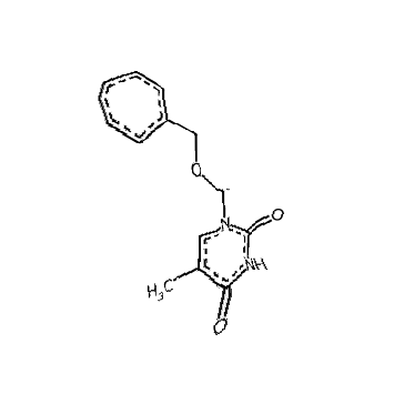 Cc1cn([CH]OCc2ccccc2)c(=O)[nH]c1=O